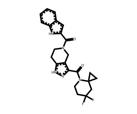 O=C(c1cc2ccccc2[nH]1)N1CCc2[nH]nc(C(=O)N3CCC(F)(F)CC34CC4)c2C1